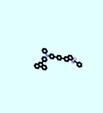 c1ccc(-c2nc3c(ccc4cc(-c5ccc(-c6ccc(N(c7ccccc7)c7ccc(-c8cc9ccccc9c9ccccc89)cc7)cc6)cc5)ccc43)o2)cc1